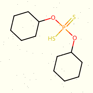 S=P(S)(OC1CCCCC1)OC1CCCCC1